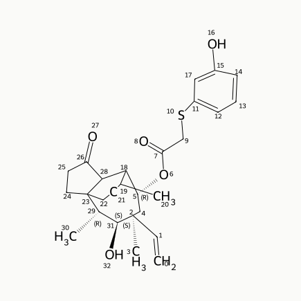 C=C[C@]1(C)C[C@@H](OC(=O)CSc2cccc(O)c2)C2C(C)CCC3(CCC(=O)C23)[C@@H](C)[C@@H]1O